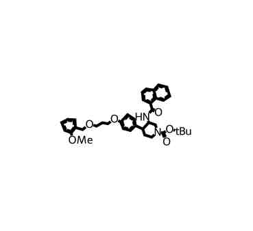 COc1ccccc1COCCCOc1ccc(C2CCN(C(=O)OC(C)(C)C)CC2NC(=O)c2cccc3ccccc23)cc1